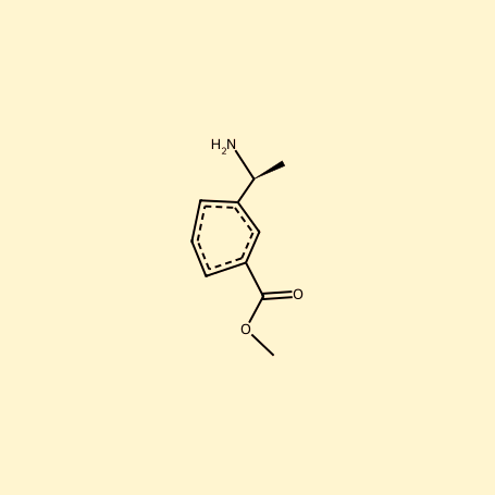 COC(=O)c1cccc([C@H](C)N)c1